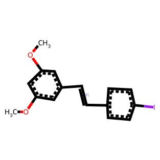 COc1cc(/C=C/c2ccc(I)cc2)cc(OC)c1